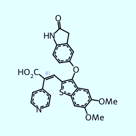 COc1cc2sc(/C=C(/C(=O)O)c3ccncc3)c(Oc3ccc4c(c3)CC(=O)N4)c2cc1OC